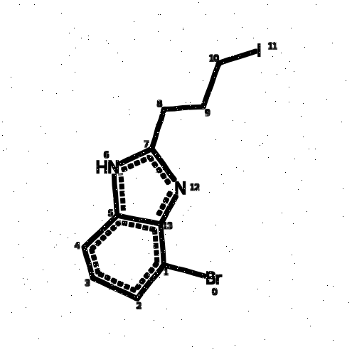 Brc1cccc2[nH]c(CCCI)nc12